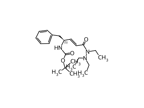 CCN(CC)N(CC)C(=O)C=C[C@H](Cc1ccccc1)NC(=O)OC(C)(C)C